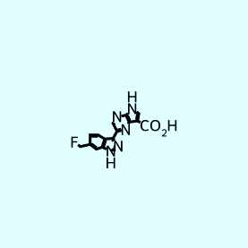 O=C(O)c1c[nH]c2ncc(-c3n[nH]c4cc(CF)ccc34)nc12